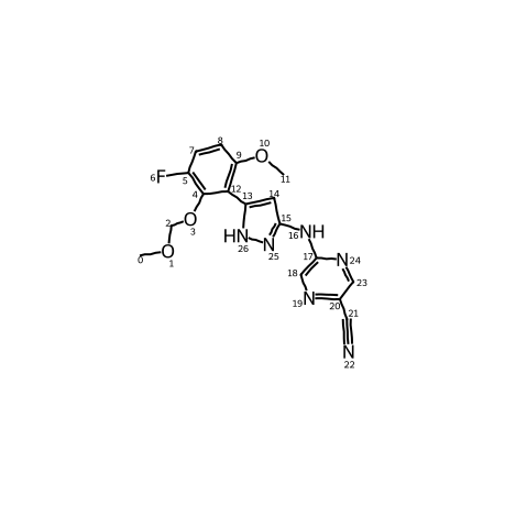 COCOc1c(F)ccc(OC)c1-c1cc(Nc2cnc(C#N)cn2)n[nH]1